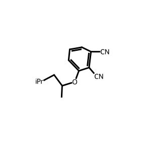 CC(C)CC(C)Oc1cccc(C#N)c1C#N